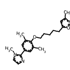 Cc1cc(CCCCCOc2c(C)cc(-c3nccn3C)cc2C)on1